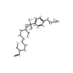 C=C[C@H]1CC[C@H]([C@H]2CC[C@H](OC(F)(F)c3ccc(COCCC)cc3)CC2)CC1